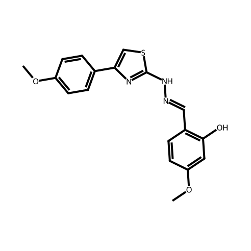 COc1ccc(-c2csc(N/N=C/c3ccc(OC)cc3O)n2)cc1